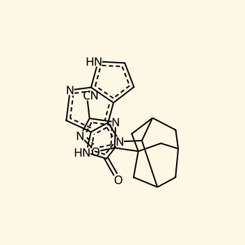 N#Cc1noc(C23CC4CC(C2)C(n2c(=O)[nH]c5cnc6[nH]ccc6c52)C(C4)C3)n1